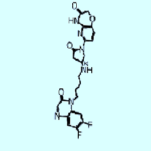 O=C1COc2ccc(N3C[C@H](NCCCCn4c(=O)cnc5cc(F)c(F)cc54)CC3=O)nc2N1